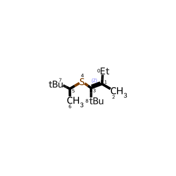 CC/C(C)=C(\SC(C)C(C)(C)C)C(C)(C)C